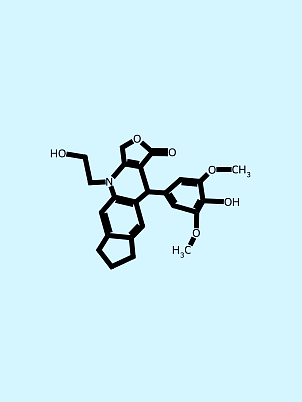 COc1cc(C2C3=C(COC3=O)N(CCO)c3cc4c(cc32)CCC4)cc(OC)c1O